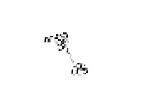 CCCOS(=O)(=O)OC(=O)CCCCCCC(=O)OS(C)(=O)=O